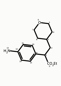 CCOC(=O)C(CC1CCOCC1)c1ccc(N)cc1